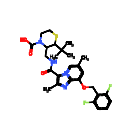 Cc1cc(OCc2c(F)cccc2F)c2nc(C)c(C(=O)NCC3C(C(C)(C)C)SCCN3C(=O)O)n2c1